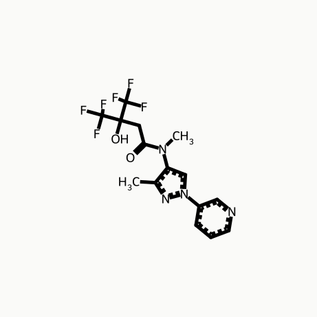 Cc1nn(-c2cccnc2)cc1N(C)C(=O)CC(O)(C(F)(F)F)C(F)(F)F